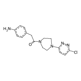 Nc1ccc(CC(=O)N2CCN(c3ccc(Cl)nn3)CC2)cc1